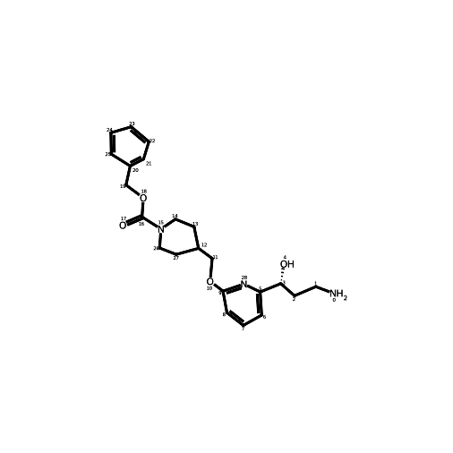 NCC[C@@H](O)c1cccc(OCC2CCN(C(=O)OCc3ccccc3)CC2)n1